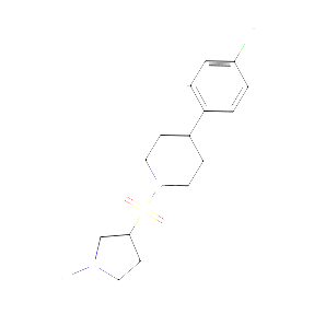 N#CN1CCC(S(=O)(=O)N2CCC(c3ccc(Cl)cc3)CC2)C1